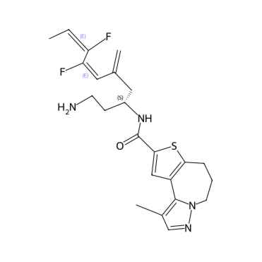 C=C(/C=C(F)\C(F)=C/C)C[C@@H](CCN)NC(=O)c1cc2c(s1)CCCn1ncc(C)c1-2